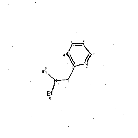 CCN(Cc1ccccn1)C(C)C